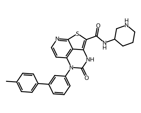 Cc1ccc(-c2cccc(N3C(=O)Nc4c(C(=O)NC5CCCNC5)sc5nccc3c45)c2)cc1